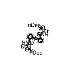 CCCCCCCCCCCC(=O)OC(CC)NC(=O)c1ccccc1SSc1ccccc1C(=O)NC(CC)OC(=O)CCCCCCCCCCC